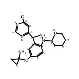 CC1(Oc2ccc3c(c2)C(c2cc(Cl)ncn2)NN3C2CCCCO2)CC1